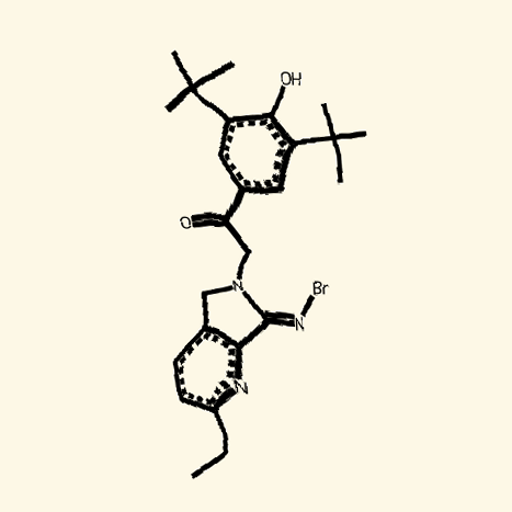 CCc1ccc2c(n1)/C(=N/Br)N(CC(=O)c1cc(C(C)(C)C)c(O)c(C(C)(C)C)c1)C2